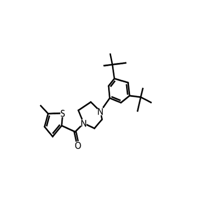 Cc1ccc(C(=O)N2CCN(c3cc(C(C)(C)C)cc(C(C)(C)C)c3)CC2)s1